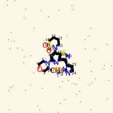 C[C@@H]1COCCN1c1cc(N2CCCCS2(=O)=O)c2snc(-c3ccnn3PI)c2n1